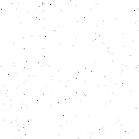 CCCCCCC[C@H]1CC[C@H](OCCC[C@H]2CC[C@H](CCCCC)CC2)CC1